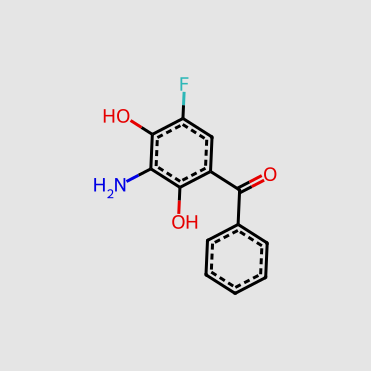 Nc1c(O)c(F)cc(C(=O)c2ccccc2)c1O